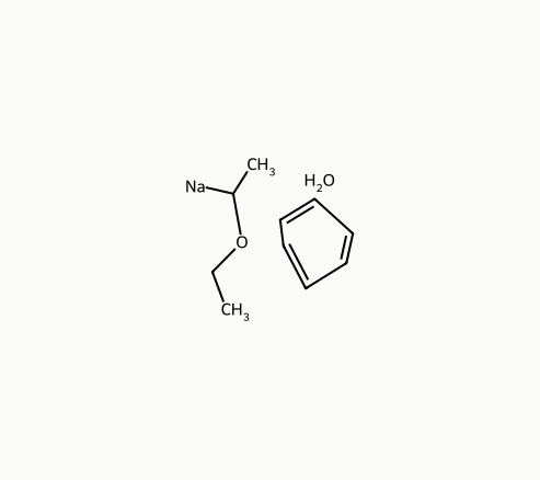 CCO[CH](C)[Na].O.c1ccccc1